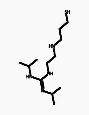 CC(C)/N=C(\NCCNCCCS)NC(C)C